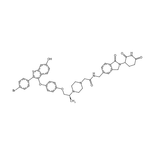 C[C@@H](COc1ccc(Oc2c(-c3ccc(Br)cc3)sc3cc(O)ccc23)cc1)N1CCN(CC(=O)NCc2ccc3c(c2)CN(C2CCC(=O)NC2=O)C3=O)CC1